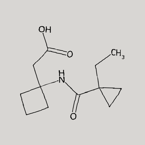 CCC1(C(=O)NC2(CC(=O)O)CCC2)CC1